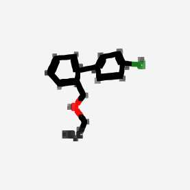 O=C(O)COCc1ccccc1-c1ccc(Cl)cc1